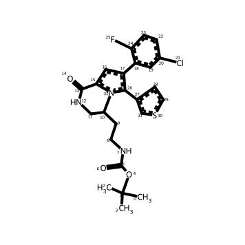 CC(C)(C)OC(=O)NCCC1CNC(=O)c2cc(-c3cc(Cl)ccc3F)c(-c3ccsc3)n21